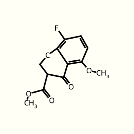 COC(=O)C1CCc2c(F)ccc(OC)c2C1=O